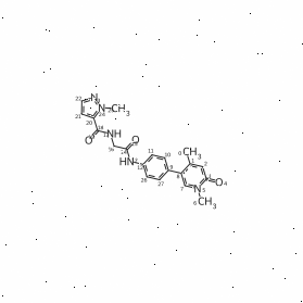 Cc1cc(=O)n(C)cc1-c1ccc(NC(=O)CNC(=O)c2ccnn2C)cc1